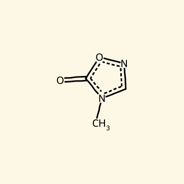 Cn1cnoc1=O